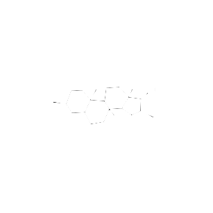 C[C@H]1CC[C@@]2(C)[C@@H](CC[C@@H]3[C@@H]2CC[C@]2(C)[C@@H](O)[C@@H](C)C[C@@H]32)C1